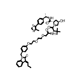 CC/C=C1/C(=O)N(Cc2ccc(OCCOCCOCC(=O)N[C@H](C(=O)N3C[C@H](O)C[C@H]3C(=O)N[C@@H](C)c3ccc(-c4scnc4C)cc3)C(C)(C)C)cc2)c2ccccc21